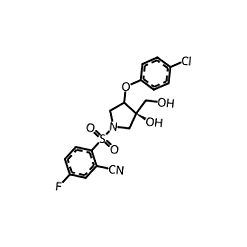 N#Cc1cc(F)ccc1S(=O)(=O)N1CC(Oc2ccc(Cl)cc2)[C@](O)(CO)C1